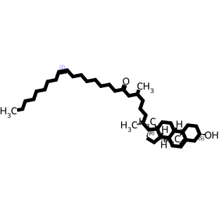 CCCCCCCC/C=C\CCCCCCCC(=O)CC(C)CCC[C@@H](C)[C@H]1CC[C@H]2[C@@H]3CC=C4C[C@@H](O)CC[C@]4(C)[C@H]3CC[C@]12C